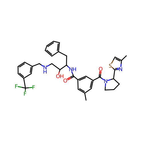 Cc1cc(C(=O)NC(Cc2ccccc2)C(O)CNCc2cccc(C(F)(F)F)c2)cc(C(=O)N2CCCC2c2nc(C)cs2)c1